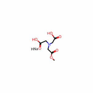 COC(=O)CN(CC(=O)O)CC(=O)O.[NaH]